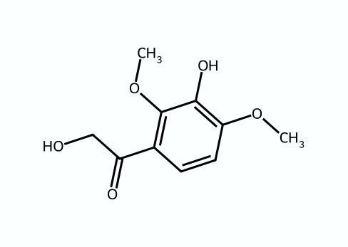 COc1ccc(C(=O)CO)c(OC)c1O